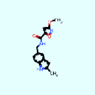 COc1cc(C(=O)NCc2ccc3[nH]c(C)cc3c2)on1